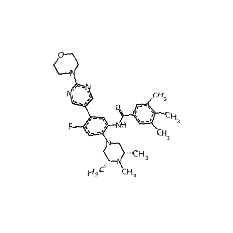 Cc1cc(C(=O)Nc2cc(-c3cnc(N4CCOCC4)nc3)c(F)cc2N2C[C@@H](C)N(C)[C@@H](C)C2)cc(C)c1C